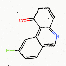 O=C1CC=Cc2ncc3ccc(F)cc3c21